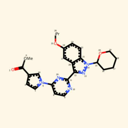 COC(=O)c1ccn(-c2ccnc(-c3nn(C4CCCCO4)c4ccc(OC(C)C)cc34)n2)c1